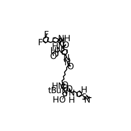 CC1=C[SH](c2ccc(CNC(=O)[C@@H]3C[C@@H](O)CN3C(=O)[C@@H](NC(=O)CCCCCCCC(=O)N3CCN(c4ccc(C(=O)Nc5n[nH]c6ccc(Cc7cc(F)cc(F)c7)cc56)c(NC5CCOCC5)c4)CC3)C(C)(C)C)cc2)C=N1